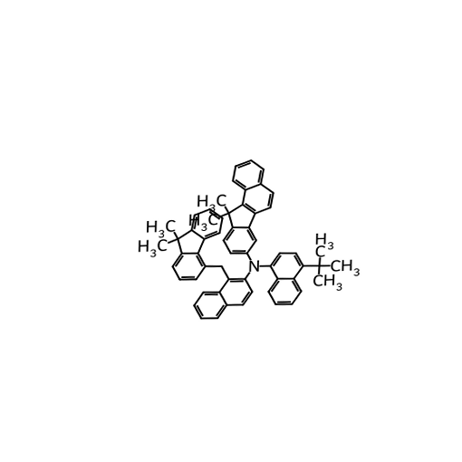 CC(C)(C)c1ccc(N(c2ccc3c(c2)-c2ccc4ccccc4c2C3(C)C)c2ccc3ccccc3c2Cc2cccc3c2-c2ccccc2C3(C)C)c2ccccc12